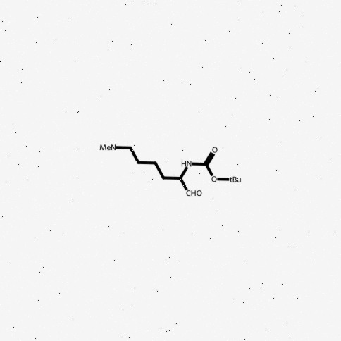 CNCCCCC(C=O)NC(=O)OC(C)(C)C